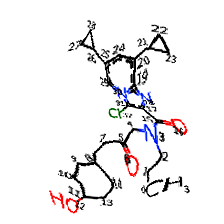 CCCN(CC(=O)CC1CCC(O)CC1)C(=O)c1nc2c(C3CC3)cc(C3CC3)cn2c1Cl